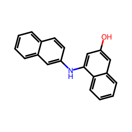 Oc1cc(Nc2ccc3ccccc3c2)c2ccccc2c1